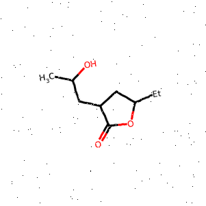 CCC1CC(CC(C)O)C(=O)O1